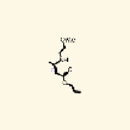 C=CCOC(=O)/C=C(/C)NCCOC